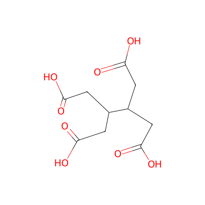 O=C(O)CC(CC(=O)O)C(CC(=O)O)CC(=O)O